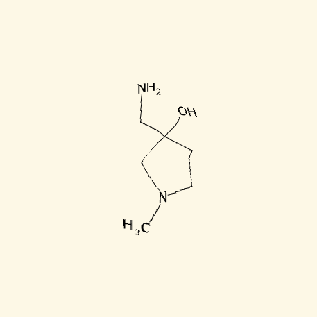 CN1CCC(O)(CN)C1